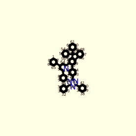 c1ccc(-c2cc(-c3ccccc3)nc(-c3cc4c(cc3-c3ccc(-c5nc(-c6ccccc6)nc(-c6ccccc6)n5)cc3)-c3ccccc3C4(c3ccccc3)c3ccccc3)c2)cc1